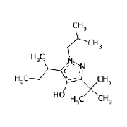 CCC(C)c1c(O)c(C(C)(C)C)nn1CC(C)C